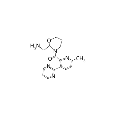 Cc1ccc(-c2ncccn2)c(C(=O)N2CCCOC2CN)n1